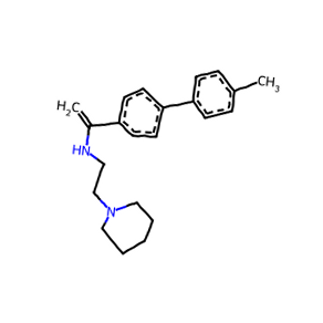 C=C(NCCN1CCCCC1)c1ccc(-c2ccc(C)cc2)cc1